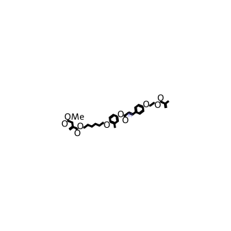 C=C(C)C(=O)OCCOc1ccc(/C=C/C(=O)Oc2ccc(OCCCCCCOC(=O)C(=C)CC(=O)OC)c(C)c2)cc1